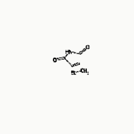 CCC.O=C1C=CC(=O)N1